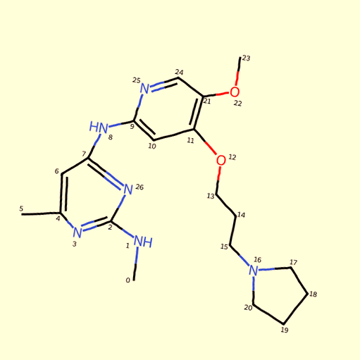 CNc1nc(C)cc(Nc2cc(OCCCN3CCCC3)c(OC)cn2)n1